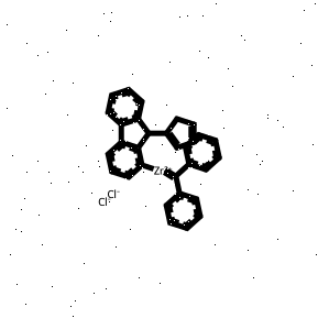 C1=CCC(C2c3ccccc3-c3ccc[c]([Zr+2]=[C](c4ccccc4)c4ccccc4)c32)=C1.[Cl-].[Cl-]